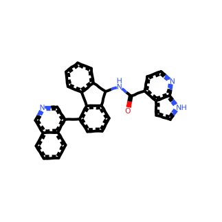 O=C(NC1c2ccccc2-c2c(-c3cncc4ccccc34)cccc21)c1ccnc2[nH]ccc12